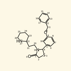 O=C1CSC(c2cccc(OCc3ccccc3)c2)N1CCC1CCCCN1